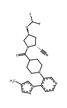 Cc1cnn(-c2ccncc2N2CCC(C(=O)N3C[C@@H](OC(F)F)C[C@@H]3C#N)CC2)c1